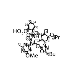 CC(C)Oc1cc(-n2nc(C(C)(C)C)oc2=O)c(Cl)cc1Cl.COc1nc(C)nc(N(C)C(=O)NS(=O)(=O)c2ccccc2C(=O)O)n1